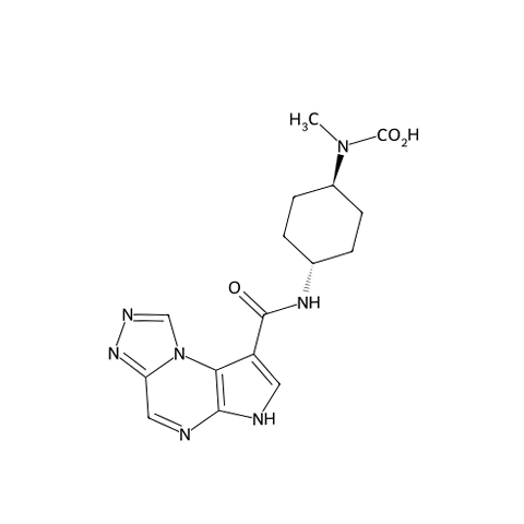 CN(C(=O)O)[C@H]1CC[C@H](NC(=O)c2c[nH]c3ncc4nncn4c23)CC1